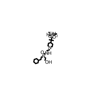 C[SiH2]OC(O[SiH2]C)C(C)(C)C1CCN(CCNC(=O)N(CCO)CCC2CCCCC2)CC1